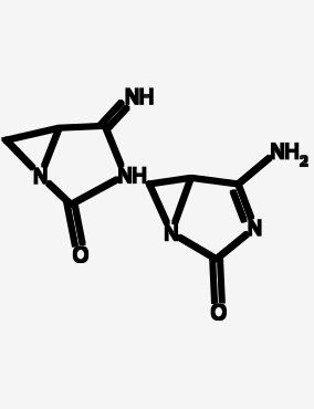 N=C1NC(=O)N2CC12.NC1=NC(=O)N2CC12